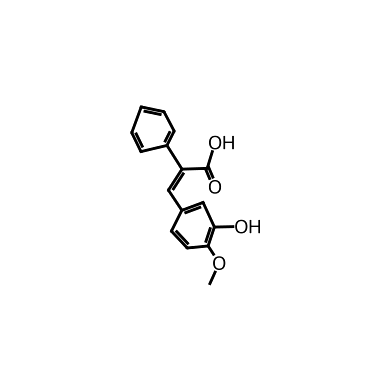 COc1ccc(/C=C(\C(=O)O)c2ccccc2)cc1O